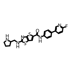 O=C(Nc1ccc(-c2ccc(F)nc2)cc1)c1cc2sc(NCC3CCCN3)nc2s1